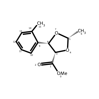 COC(=O)[C@H]1O[C@@H](C)O[C@H]1c1ccccc1C